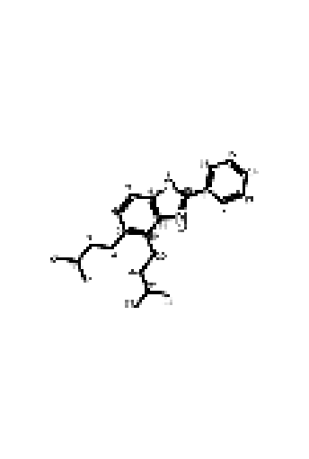 CC(C)CCc1ccc2oc(-c3[c]cccc3)nc2c1CCC(C)C